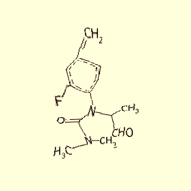 C=Cc1ccc(N(C(=O)N(C)C)C(C)C=O)c(F)c1